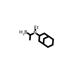 BC(C)N(CC)C1CC2CCCC(C2)C1